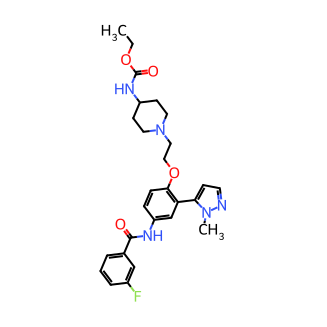 CCOC(=O)NC1CCN(CCOc2ccc(NC(=O)c3cccc(F)c3)cc2-c2ccnn2C)CC1